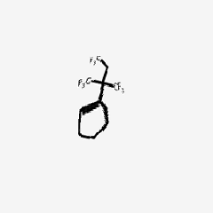 FC(F)(F)CC(C1=CCCC1)(C(F)(F)F)C(F)(F)F